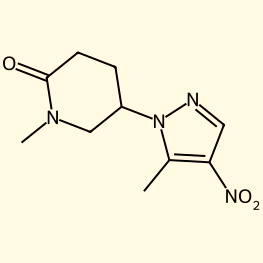 Cc1c([N+](=O)[O-])cnn1C1CCC(=O)N(C)C1